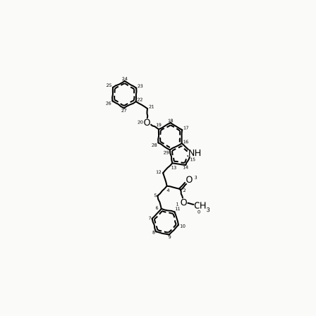 COC(=O)C(Cc1ccccc1)Cc1c[nH]c2ccc(OCc3ccccc3)cc12